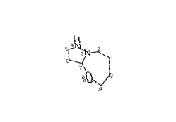 C1CCN2NCCC2OC1